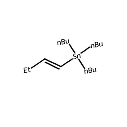 CCC=[CH][Sn]([CH2]CCC)([CH2]CCC)[CH2]CCC